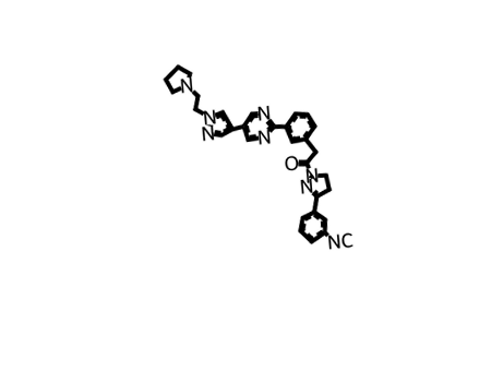 [C-]#[N+]c1cccc(C2=NN(C(=O)Cc3cccc(-c4ncc(-c5cnn(CCN6CCCC6)c5)cn4)c3)CC2)c1